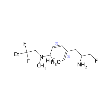 C/C=C(\C=C/C(C)N(C)CC(F)(F)CC)CC(N)CF